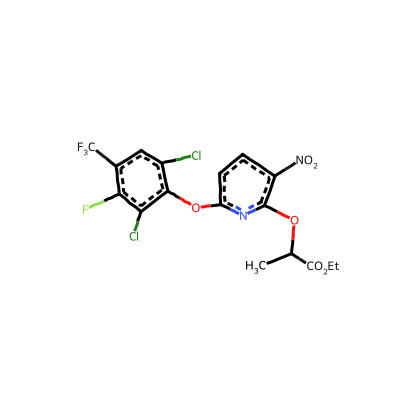 CCOC(=O)C(C)Oc1nc(Oc2c(Cl)cc(C(F)(F)F)c(F)c2Cl)ccc1[N+](=O)[O-]